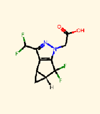 O=C(O)Cn1nc(C(F)F)c2c1C(F)(F)[C@@H]1CC21